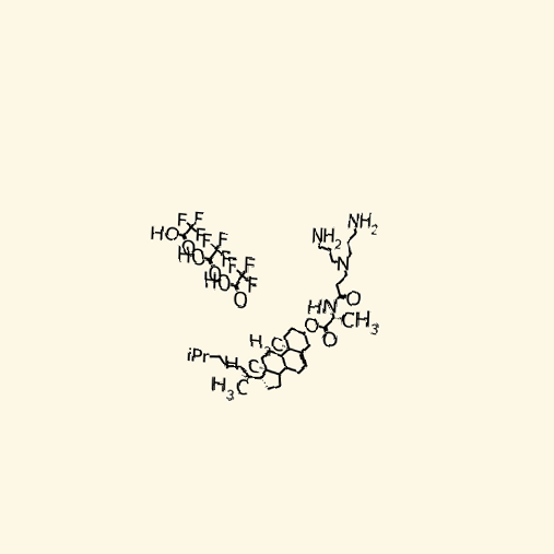 CC(C)CCC[C@@H](C)[C@H]1CCC2C3CC=C4CC(OC(=O)[C@@H](C)NC(=O)CCN(CCCN)CCCN)CC[C@]4(C)C3CC[C@@]21C.O=C(O)C(F)(F)F.O=C(O)C(F)(F)F.O=C(O)C(F)(F)F